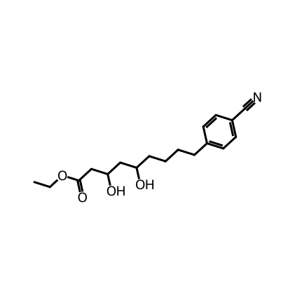 CCOC(=O)CC(O)CC(O)CCCCc1ccc(C#N)cc1